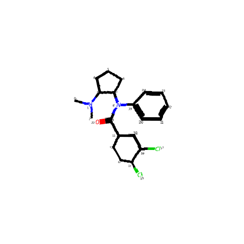 CN(C)C1CCCC1N(C(=O)C1CCC(Cl)C(Cl)C1)c1ccccc1